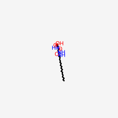 CCCCCCCCCCCCCCCCCCNC(=O)NCC(=O)NCC(=O)O